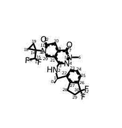 C[C@@H](Nc1nn(C)c(=O)c2cc(=O)n(C3(C(F)F)CC3)cc12)c1cccc2c1CCC2(F)F